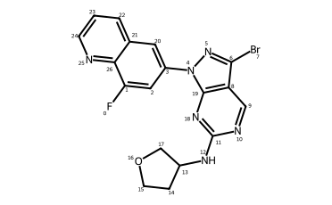 Fc1cc(-n2nc(Br)c3cnc(NC4CCOC4)nc32)cc2cccnc12